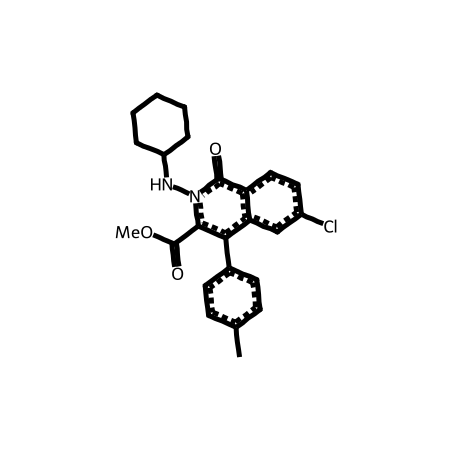 COC(=O)c1c(-c2ccc(C)cc2)c2cc(Cl)ccc2c(=O)n1NC1CCCCC1